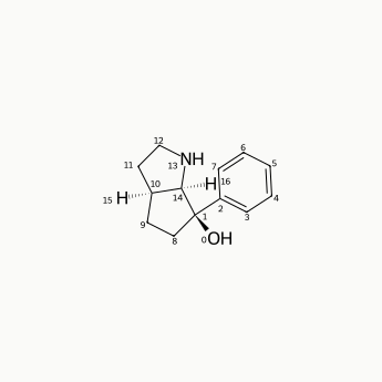 O[C@@]1(c2ccccc2)CC[C@H]2CCN[C@H]21